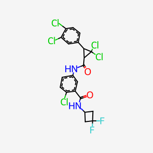 O=C(NC1CC(F)(F)C1)c1cc(NC(=O)C2C(c3ccc(Cl)c(Cl)c3)C2(Cl)Cl)ccc1Cl